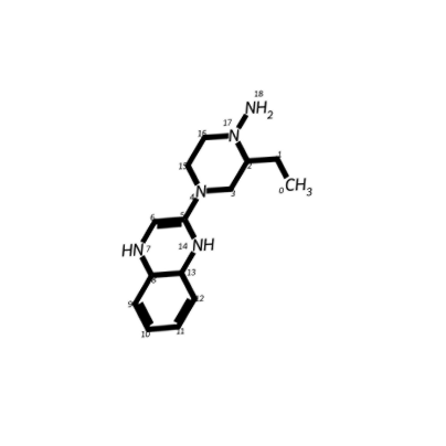 CCC1CN(C2=CNC3C=CC=CC3N2)CCN1N